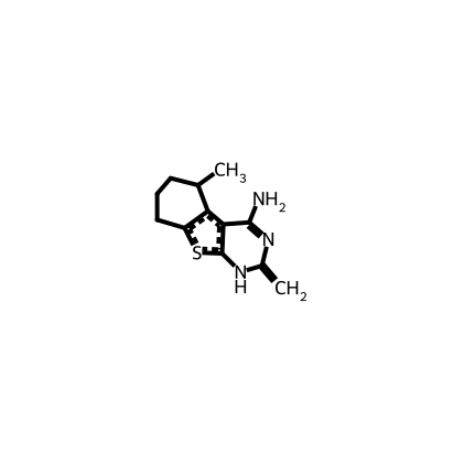 C=C1N=C(N)c2c(sc3c2C(C)CCC3)N1